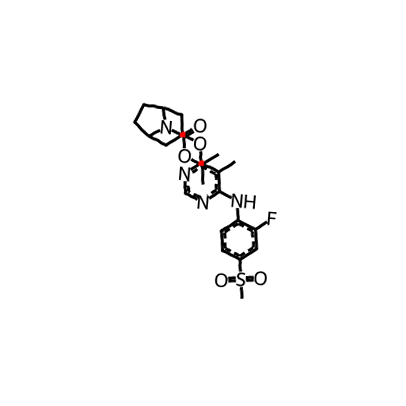 Cc1c(Nc2ccc(S(C)(=O)=O)cc2F)ncnc1OC1CC2CCC(C1)N2C(=O)OC(C)C